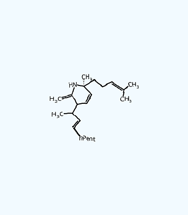 C=C1N[C@@](C)(CCC=C(C)C)C=CC1C(C)/C=C/CCCCC